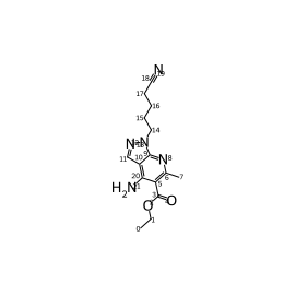 CCOC(=O)c1c(C)nc2c(cnn2CCCCC#N)c1N